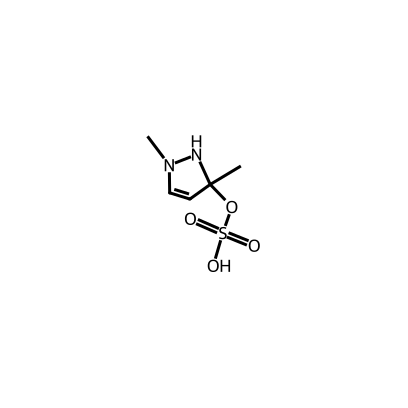 CN1C=CC(C)(OS(=O)(=O)O)N1